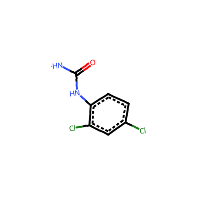 [NH]C(=O)Nc1ccc(Cl)cc1Cl